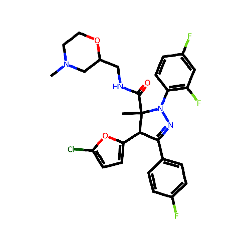 CN1CCOC(CNC(=O)C2(C)C(c3ccc(Cl)o3)C(c3ccc(F)cc3)=NN2c2ccc(F)cc2F)C1